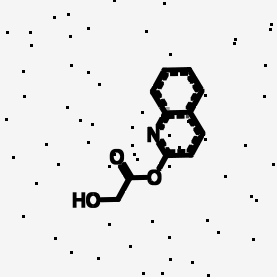 O=C(CO)Oc1ccc2ccccc2n1